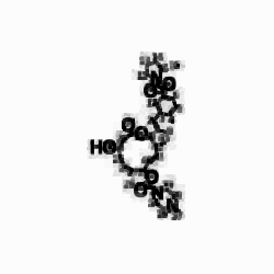 C/C(=C\c1cccc(S(=O)(=O)N2CCC[C@@H]2C)c1)[C@H]1OC(=O)C[C@@H](O)CC[C@@H](C)[C@H](OC(=O)N2CCN(C)CC2)/C=C/[C@@H]1C